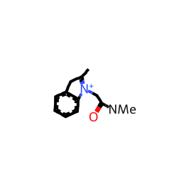 CNC(=O)C[N+]1=C(C)Cc2ccccc21